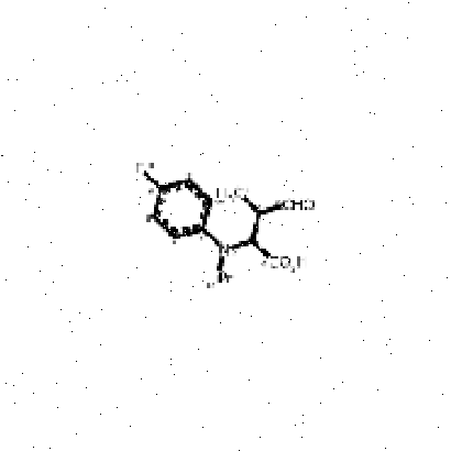 CC(C=O)C(C(=O)O)N(c1ccc(F)cc1)C(C)C